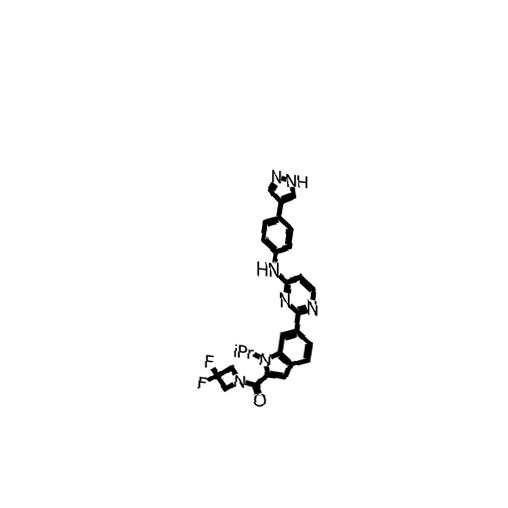 CC(C)n1c(C(=O)N2CC(F)(F)C2)cc2ccc(-c3nccc(Nc4ccc(-c5cn[nH]c5)cc4)n3)cc21